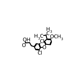 COc1ccc(Oc2c(Cl)cc(CCC(=O)O)cc2Cl)cc1C(C)C